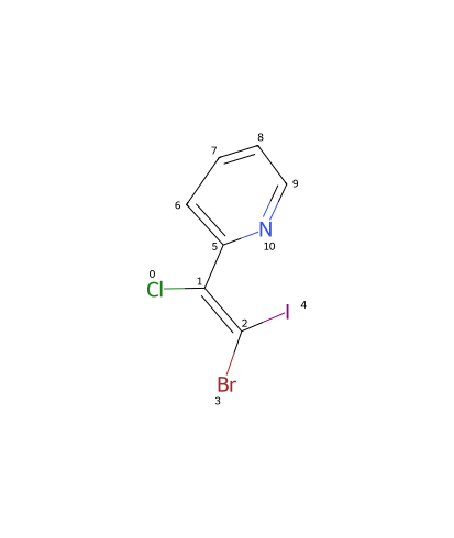 Cl/C(=C(\Br)I)c1ccccn1